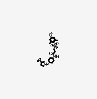 COc1cc(C)c(S(=O)(=O)N(C)CCC(=O)N[C@H]2CC[C@H](CN3CCC(N(C)C)C3)CC2)c(C)c1